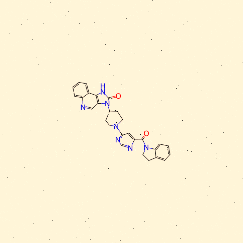 O=C(c1cc(N2CCC(n3c(=O)[nH]c4c5ccccc5ncc43)CC2)ncn1)N1CCc2ccccc21